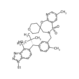 CCn1nnc2c(C)c([C@@H](c3ccc(C)c(CN4CC5(CCOCC5)Oc5ncc(C)cc5S4(=O)=O)c3)C(C)(C)C(=O)O)ccc21